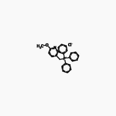 COc1ccc(C[P+](c2ccccc2)(c2ccccc2)c2ccccc2)cn1.[Cl-]